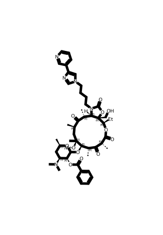 CC[C@H]1OC(=O)[C@H](C)C(=O)[C@H](C)[C@@H](OC2O[C@H](C)C[C@H](N(C)C)[C@H]2OC(=O)c2ccccc2)[C@@](C)(OC)C[C@@H](C)C(=O)[C@H](C)[C@H]2N(CCCCn3cnc(-c4cccnc4)c3)C(=O)O[C@]12CO